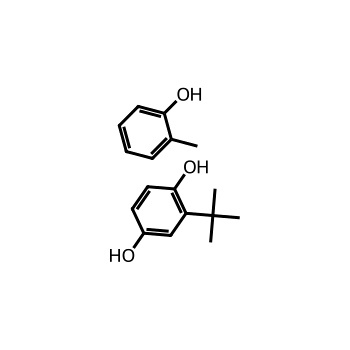 CC(C)(C)c1cc(O)ccc1O.Cc1ccccc1O